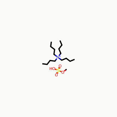 CCCC[N+](CCCC)(CCCC)CCCC.COS(=O)(=O)O